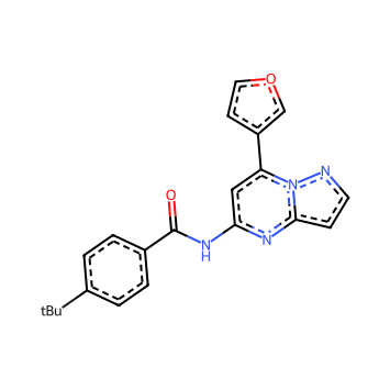 CC(C)(C)c1ccc(C(=O)Nc2cc(-c3ccoc3)n3nccc3n2)cc1